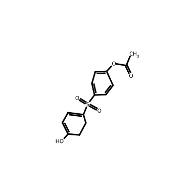 CC(=O)Oc1ccc(S(=O)(=O)C2=CC=C(O)CC2)cc1